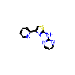 c1ccc(-c2csc(Nc3ncccn3)n2)nc1